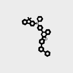 CC1(C)c2ccccc2-c2ccc(N(c3ccc(C4Cc5c(oc6cc(-c7cccc(-c8ccccc8)c7)ccc56)-c5ccccc54)cc3)C3C=CC=CC3)cc21